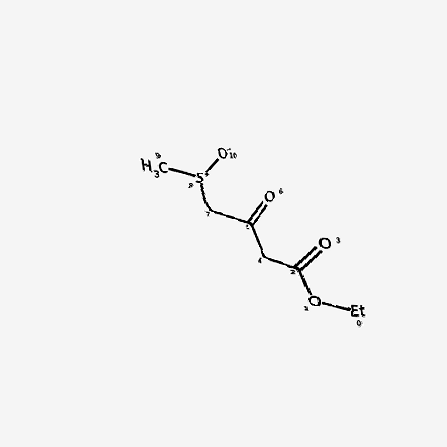 CCOC(=O)CC(=O)C[S+](C)[O-]